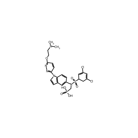 CN(C)CCOc1ccc(-n2ccc3cc(N(CP(=O)(O)O)S(=O)(=O)C4C=C(Cl)C=C(Cl)C4)ccc32)nn1